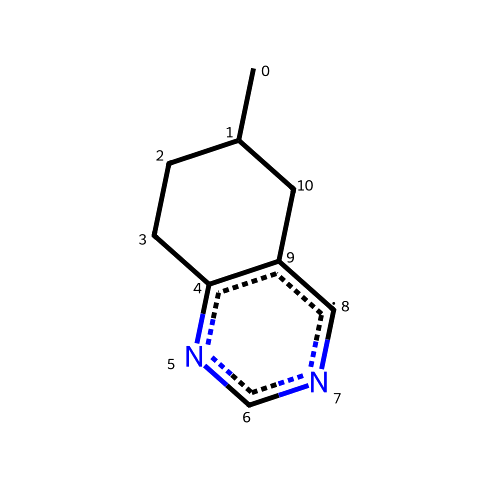 CC1CCc2ncn[c]c2C1